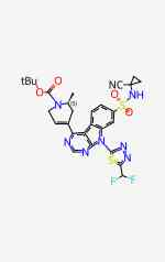 C[C@H]1CC(c2ncnc3c2c2ccc(S(=O)(=O)NC4(C#N)CC4)cc2n3-c2nnc(C(F)F)s2)=CCN1C(=O)OC(C)(C)C